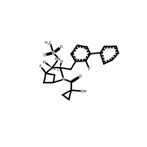 CS(=O)(=O)N[C@@H]1[C@H](Cc2cccc(-c3ccccc3)c2F)N(C(=O)C2(O)CC2)C2CC1(F)C2